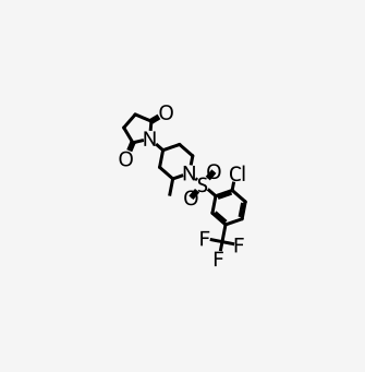 CC1CC(N2C(=O)CCC2=O)CCN1S(=O)(=O)c1cc(C(F)(F)F)ccc1Cl